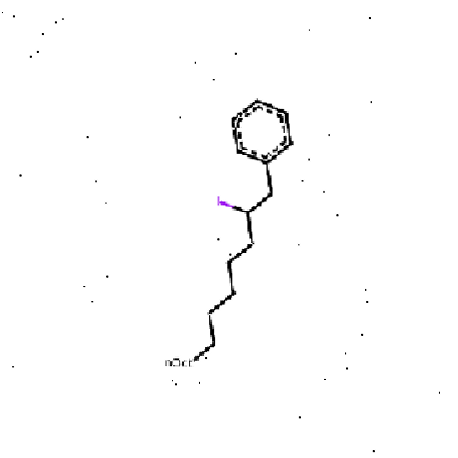 CCCCCCCCCCCCCC(I)Cc1ccccc1